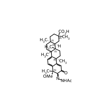 CO[C@@]1(C)C2=CC=C3[C@@](C)(CC[C@@]4(C)[C@@H]5C[C@](C)(C(=O)O)CC[C@]5(C)CC[C@]34C)C2=CC(=O)C1=NNC(C)=O